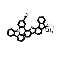 CC1(C)c2ccccc2-c2c1ccc1c2sc2c(-c3cc(C#N)ccc3-n3c4ccccc4c4ccccc43)cccc21